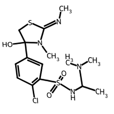 C/N=C1\SCC(O)(c2ccc(Cl)c(S(=O)(=O)NC(C)N(C)C)c2)N1C